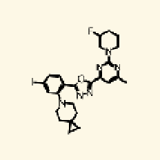 Cc1cc(-c2nnc(-c3ccc(I)cc3N3CCC4(CC3)CC4)o2)nc(N2CCCC(F)C2)n1